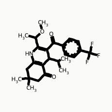 COC(C)C1=C(C(=O)c2ccc(C(F)(F)F)cc2)C(C(C)C)C2=C(CC(C)(C)CC2=O)N1